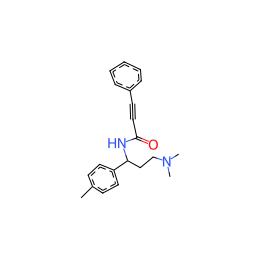 Cc1ccc(C(CCN(C)C)NC(=O)C#Cc2ccccc2)cc1